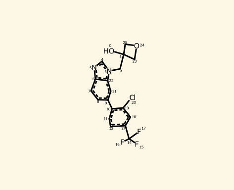 OC1(Cn2cnc3ccc(-c4ccc(C(F)(F)F)cc4Cl)cc32)COC1